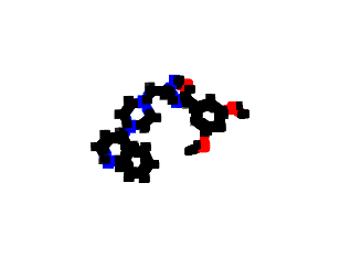 COc1cc(OC)cc(-c2nc(CN3CCN(c4ccnc5ccccc45)CC3)no2)c1